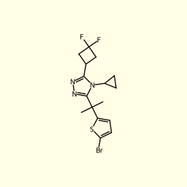 CC(C)(c1ccc(Br)s1)c1nnc(C2CC(F)(F)C2)n1C1CC1